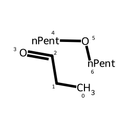 CCC=O.CCCCCOCCCCC